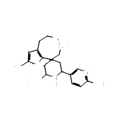 Cc1ccc(C2CC3(CNOCCc4cc(Cl)sc43)CC(C)N2)cn1